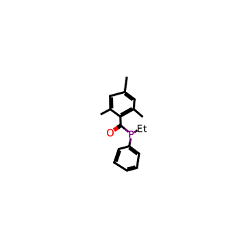 CCP(C(=O)c1c(C)cc(C)cc1C)c1ccccc1